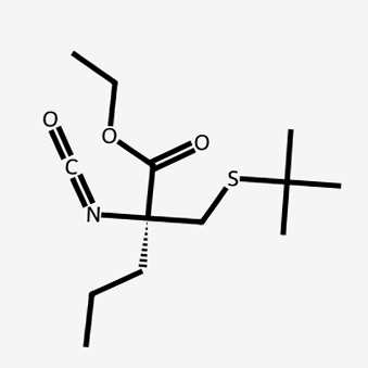 CCC[C@](CSC(C)(C)C)(N=C=O)C(=O)OCC